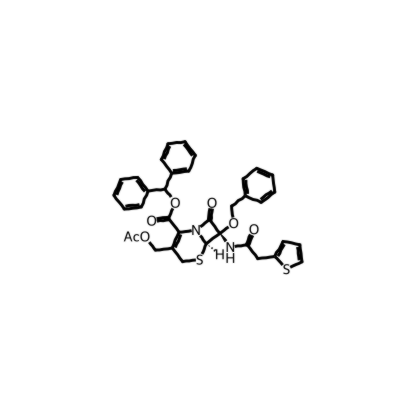 CC(=O)OCC1=C(C(=O)OC(c2ccccc2)c2ccccc2)N2C(=O)[C@](NC(=O)Cc3cccs3)(OCc3ccccc3)[C@H]2SC1